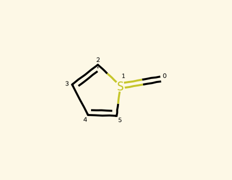 C=S1[C]=CC=C1